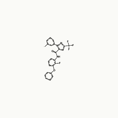 [CH2]c1cccc(-n2nc(C(F)(F)F)cc2C(=O)Nc2cccc(Oc3ccccc3)c2F)c1